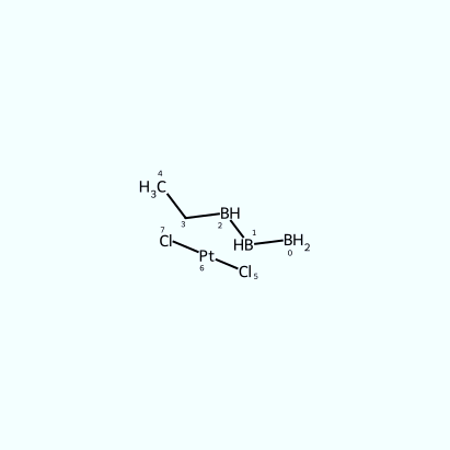 BBBCC.[Cl][Pt][Cl]